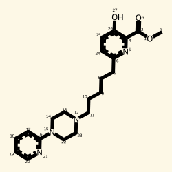 COC(=O)c1nc(CCCCCN2CCN(c3ccccn3)CC2)ccc1O